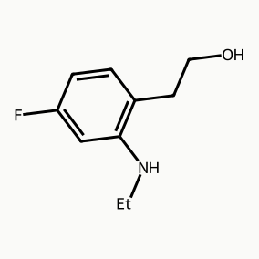 CCNc1cc(F)ccc1CCO